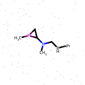 CC(C)BCN(C)C1CP1C